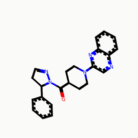 O=C(C1CCN(c2cnc3ccccc3n2)CC1)N1N=CCC1c1ccccc1